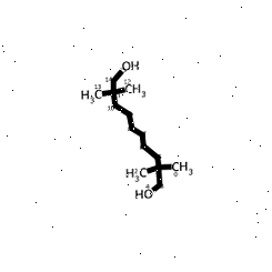 CC(C)(CO)CCCCCCC(C)(C)CO